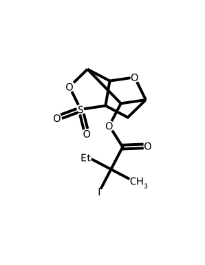 CCC(C)(I)C(=O)OC1C2CC3C(O2)C1OS3(=O)=O